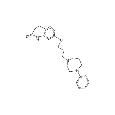 O=C1CCc2ccc(OCCCN3CCCN(c4ccccc4)CC3)cc2N1